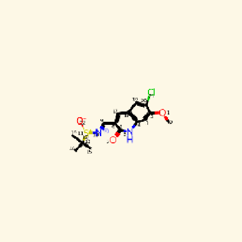 COc1cc2[nH]c(=O)c(/C=N/[S@+]([O-])C(C)(C)C)cc2cc1Cl